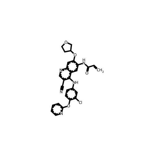 C=CC(=O)Nc1cc2c(Nc3ccc(Oc4ccccn4)c(Cl)c3)c(C#N)cnc2cc1OC1CCOC1